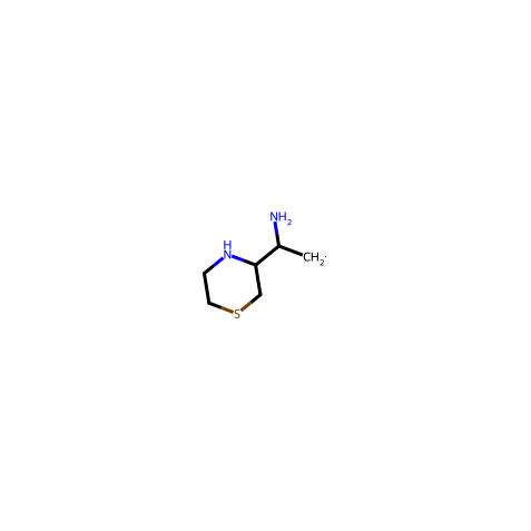 [CH2]C(N)C1CSCCN1